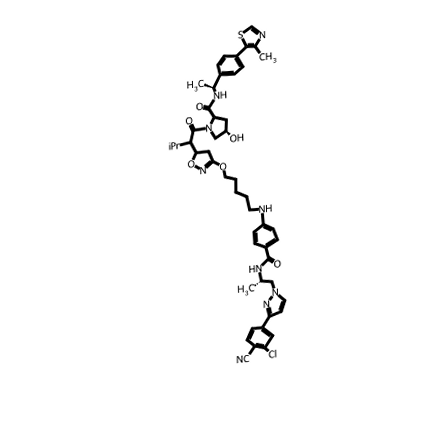 Cc1ncsc1-c1ccc([C@H](C)NC(=O)C2C[C@@H](O)CN2C(=O)C(C(C)C)C2CC(OCCCCCNc3ccc(C(=O)N[C@@H](C)Cn4ccc(-c5ccc(C#N)c(Cl)c5)n4)cc3)=NO2)cc1